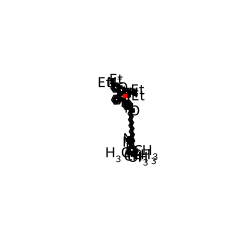 CCN(CC)c1ccc2c(-c3ccccc3C(=O)N3CCN(C(=O)CCCCCCCCc4cn(C5CC(C)(C)N(O)C(C)(C)C5)nn4)CC3)c3ccc(=[N+](CC)CC)cc-3oc2c1